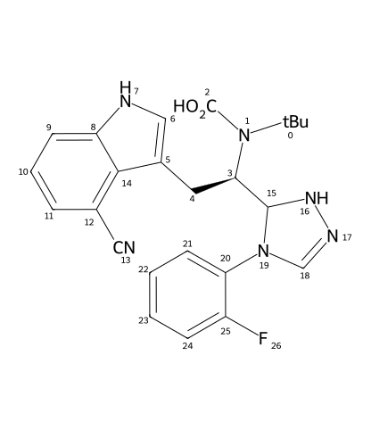 CC(C)(C)N(C(=O)O)[C@H](Cc1c[nH]c2cccc(C#N)c12)C1NN=CN1c1ccccc1F